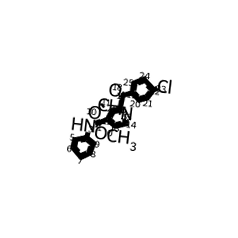 COC(Nc1ccccc1)(OC)c1ccnc(C(=O)c2ccc(Cl)cc2)c1